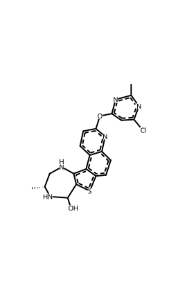 Cc1nc(Cl)cc(Oc2ccc3c(ccc4sc5c(c43)NC[C@@H](C)NC5O)n2)n1